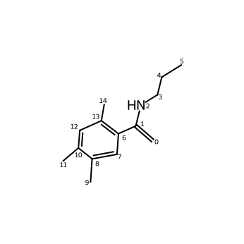 C=C(NCCC)c1cc(C)c(C)cc1C